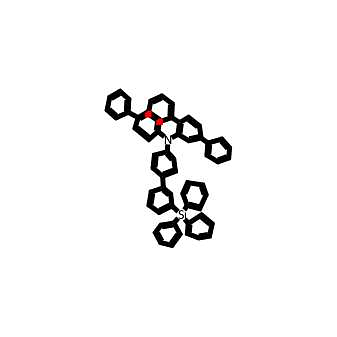 c1ccc(-c2ccc(N(c3ccc(-c4cccc([Si](c5ccccc5)(c5ccccc5)c5ccccc5)c4)cc3)c3cc(-c4ccccc4)ccc3-c3ccccc3)cc2)cc1